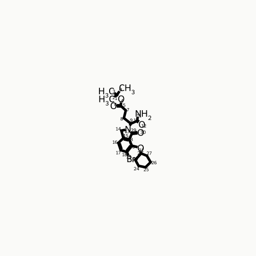 CC(C)(C)OC(=O)CCC(C(N)=O)N1Cc2ccc(Br)c(OC3CCCCC3)c2C1=O